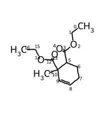 CCOC(=O)C1CCC=CC1(C)C(=O)OCC